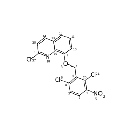 O=[N+]([O-])c1ccc(Cl)c(COc2cccc3ccc(Cl)nc23)c1Cl